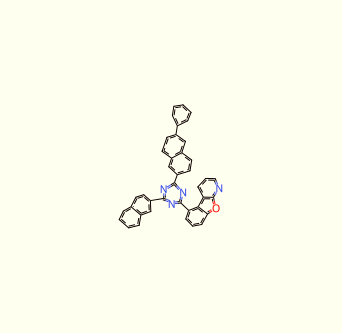 c1ccc(-c2ccc3cc(-c4nc(-c5ccc6ccccc6c5)nc(-c5cccc6oc7ncccc7c56)n4)ccc3c2)cc1